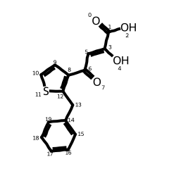 O=C(O)/C(O)=C/C(=O)c1ccsc1Cc1ccccc1